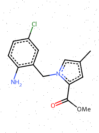 COC(=O)c1cc(C)cn1Cc1cc(Cl)ccc1N